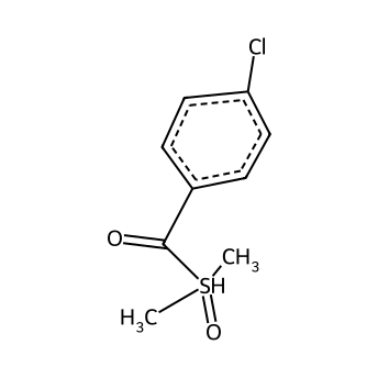 C[SH](C)(=O)C(=O)c1ccc(Cl)cc1